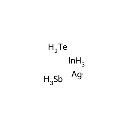 [Ag].[InH3].[SbH3].[TeH2]